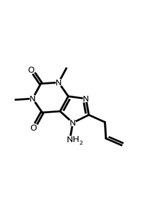 C=CCc1nc2c(c(=O)n(C)c(=O)n2C)n1N